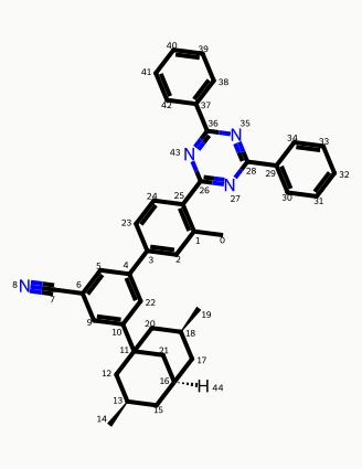 Cc1cc(-c2cc(C#N)cc(C34C[C@H](C)C[C@H](C[C@H](C)C3)C4)c2)ccc1-c1nc(-c2ccccc2)nc(-c2ccccc2)n1